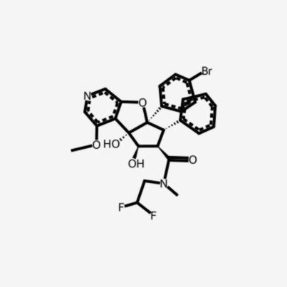 COc1cncc2c1[C@]1(O)[C@H](O)[C@H](C(=O)N(C)CC(F)F)[C@@H](c3ccccc3)[C@]1(c1ccc(Br)cc1)O2